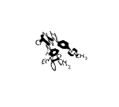 C=C1Oc2ccc(Nc3nc(Nc4ccc(N5CCN(C)CC5)cc4)ncc3Cl)cc2N(CC)C1=O